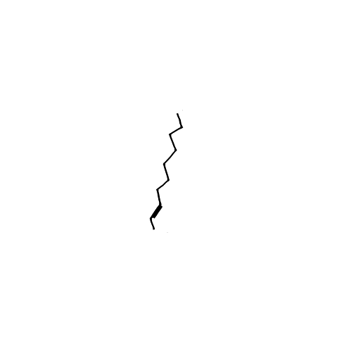 [CH2]CCCCCCC=CCCCCCCCCCCCCCCC